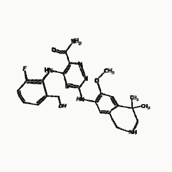 COc1cc2c(cc1Nc1nnc(C(N)=O)c(Nc3c(F)cccc3CO)n1)CNCC2(C)C